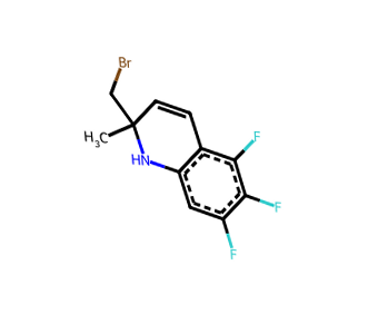 CC1(CBr)C=Cc2c(cc(F)c(F)c2F)N1